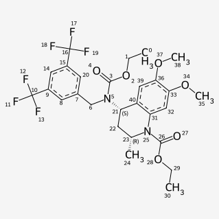 CCOC(=O)N(Cc1cc(C(F)(F)F)cc(C(F)(F)F)c1)[C@H]1C[C@@H](C)N(C(=O)OCC)c2cc(OC)c(OC)cc21